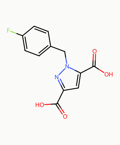 O=C(O)c1cc(C(=O)O)n(Cc2ccc(F)cc2)n1